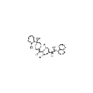 O=C(c1c(F)cc(N[S+]([O-])c2cccc3cccnc23)cc1F)N1CCC(O)(c2ccccc2Cl)CC1